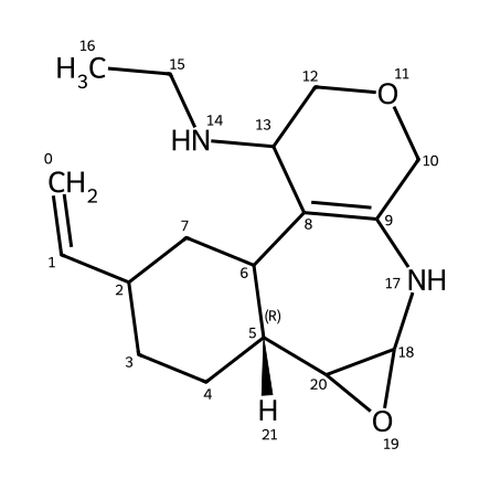 C=CC1CC[C@@H]2C(C1)C1=C(COCC1NCC)NC1OC12